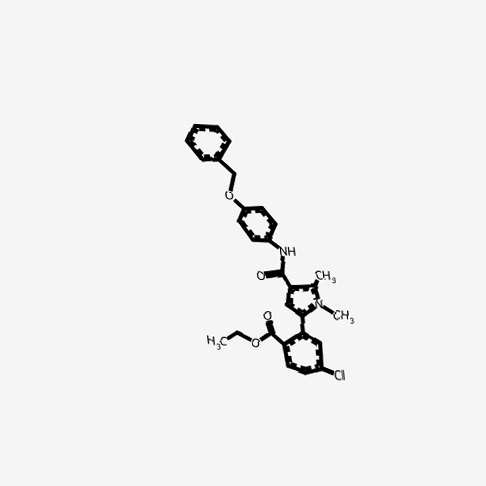 CCOC(=O)c1ccc(Cl)cc1-c1cc(C(=O)Nc2ccc(OCc3ccccc3)cc2)c(C)n1C